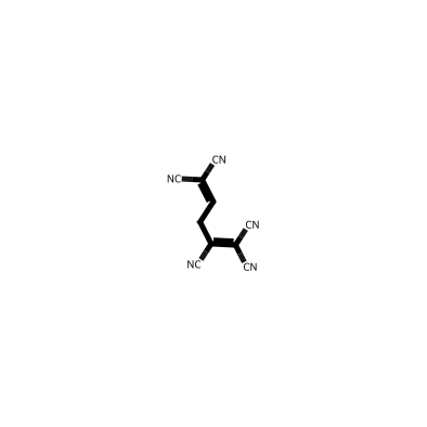 N#CC(C#N)=C[CH]C(C#N)=C(C#N)C#N